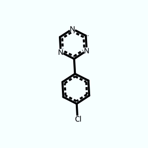 Clc1ccc(-c2n[c]ncn2)cc1